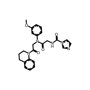 COc1cccc(N(CC(=O)N2CCCc3ccccc32)C(=O)CNC(=O)n2ccnc2)c1